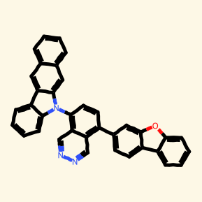 c1ccc2cc3c(cc2c1)c1ccccc1n3-c1ccc(-c2ccc3c(c2)oc2ccccc23)c2cnncc12